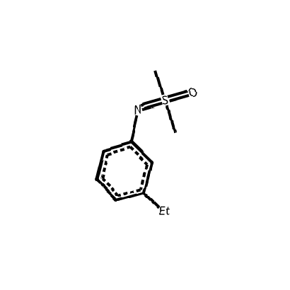 CCc1cccc(N=S(C)(C)=O)c1